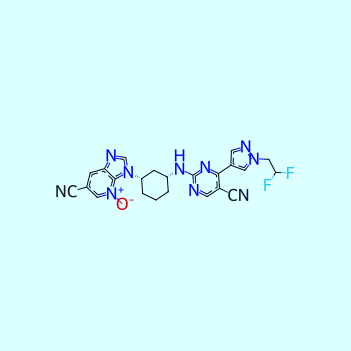 N#Cc1cc2ncn([C@H]3CCC[C@@H](Nc4ncc(C#N)c(-c5cnn(CC(F)F)c5)n4)C3)c2[n+]([O-])c1